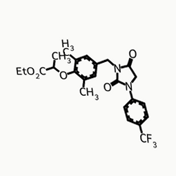 CCOC(=O)C(C)Oc1c(C)cc(CN2C(=O)CN(c3ccc(C(F)(F)F)cc3)C2=O)cc1C